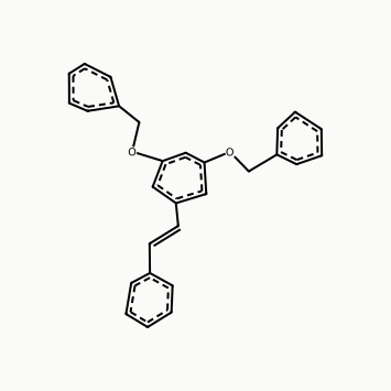 C(=C\c1cc(OCc2ccccc2)cc(OCc2ccccc2)c1)/c1ccccc1